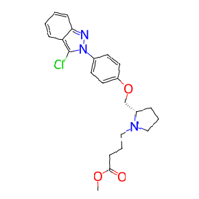 COC(=O)CCCN1CCC[C@H]1COc1ccc(-n2nc3ccccc3c2Cl)cc1